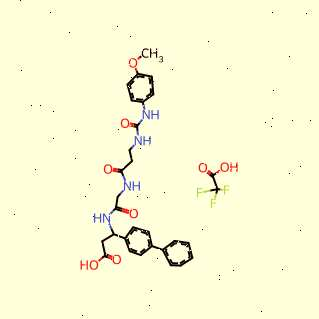 COc1ccc(NC(=O)NCCC(=O)NCC(=O)NC(CC(=O)O)c2ccc(-c3ccccc3)cc2)cc1.O=C(O)C(F)(F)F